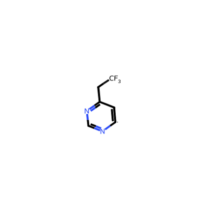 FC(F)(F)Cc1c[c]ncn1